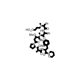 CCC(C)C(C(CC(=O)N1CCC[C@H]1C(OC)C(C)C(=O)NC(Cc1ccccc1)C(=O)N1CCCCO1)OC)N(C)C(=O)C(NC(=O)C(C(C)C)N(C)CCCC(=O)O)C(C)C